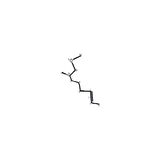 C/C=C/CCC[C@@H](C)COC